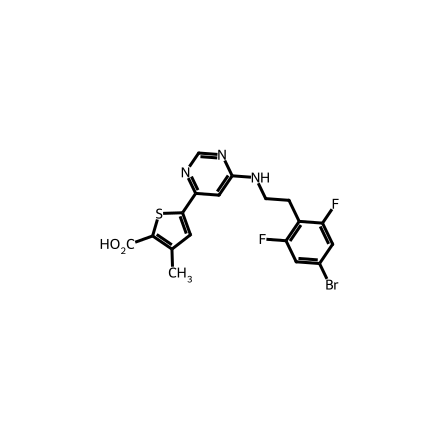 Cc1cc(-c2cc(NCCc3c(F)cc(Br)cc3F)ncn2)sc1C(=O)O